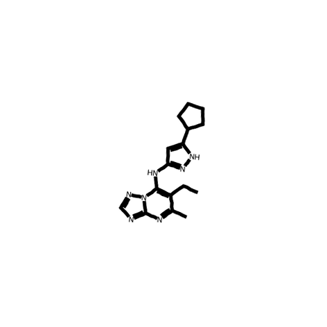 CCc1c(C)nc2ncnn2c1Nc1cc(C2CCCC2)[nH]n1